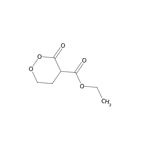 CCOC(=O)C1CCOOC1=O